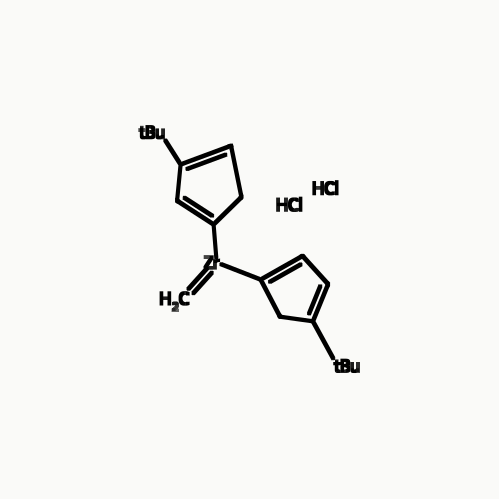 Cl.Cl.[CH2]=[Zr]([C]1=CC(C(C)(C)C)=CC1)[C]1=CC=C(C(C)(C)C)C1